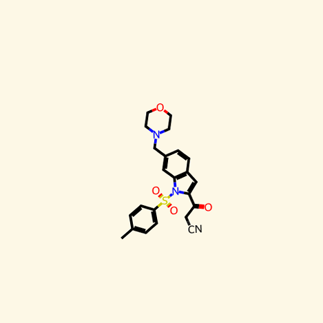 Cc1ccc(S(=O)(=O)n2c(C(=O)CC#N)cc3ccc(CN4CCOCC4)cc32)cc1